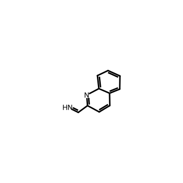 N=Cc1ccc2ccccc2n1